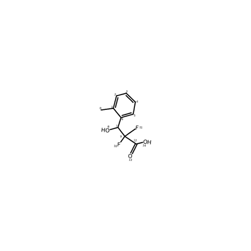 Cc1ccccc1C(O)C(F)(F)C(=O)O